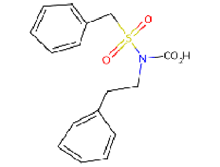 O=C(O)N(CCc1ccccc1)S(=O)(=O)Cc1ccccc1